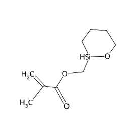 C=C(C)C(=O)OC[SiH]1CCCCO1